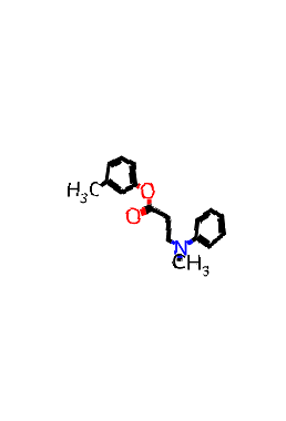 Cc1cccc(OC(=O)CCN(C)c2ccccc2)c1